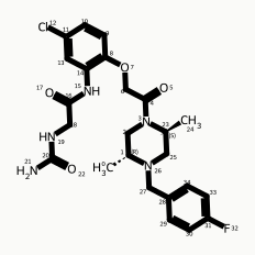 C[C@@H]1CN(C(=O)COc2ccc(Cl)cc2NC(=O)CNC(N)=O)[C@@H](C)CN1Cc1ccc(F)cc1